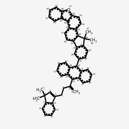 C=C(CCC1=CC(C)(C)c2ccccc21)c1c2ccccc2c(-c2ccc3c(c2)-c2ccc4c(ccc5oc6ccccc6c54)c2C3(C)C)c2ccccc12